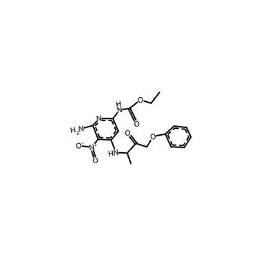 CCOC(=O)Nc1cc(NC(C)C(=O)COc2ccccc2)c([N+](=O)[O-])c(N)n1